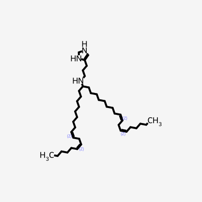 CCCCC/C=C\C/C=C\CCCCCCCCC(CCCCCCCC/C=C\C/C=C\CCCCC)NCCCC1=CNCN1